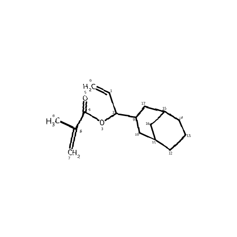 C=CC(OC(=O)C(=C)C)C1CC2CCCC(C2)C1